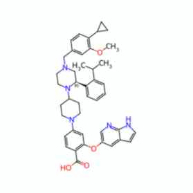 COc1cc(CN2CCN(C3CCN(c4ccc(C(=O)O)c(Oc5cnc6[nH]ccc6c5)c4)CC3)[C@H](c3ccccc3C(C)C)C2)ccc1C1CC1